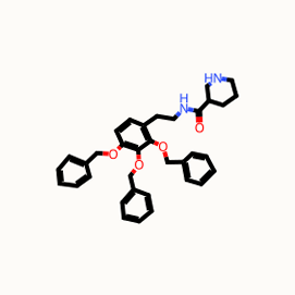 O=C(NCCc1ccc(OCc2ccccc2)c(OCc2ccccc2)c1OCc1ccccc1)C1CCCNC1